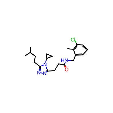 Cc1c(Cl)cccc1CNC(=O)CCc1nnc(CCC(C)C)n1C1CC1